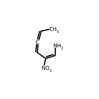 CC=C=C/C(=C\N)[N+](=O)[O-]